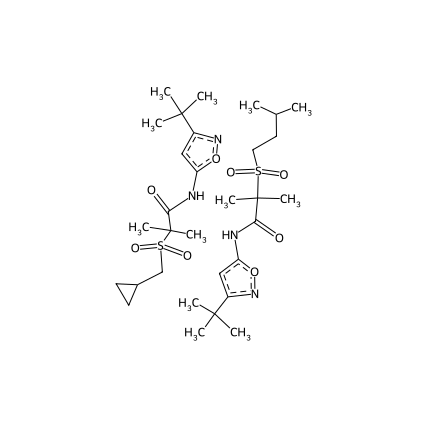 CC(C)(C)c1cc(NC(=O)C(C)(C)S(=O)(=O)CC2CC2)on1.CC(C)CCS(=O)(=O)C(C)(C)C(=O)Nc1cc(C(C)(C)C)no1